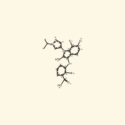 CC(C)n1cc(-n2c(N)c(Sc3cccc(C(=O)O)c3F)c3ccc(Cl)c(F)c32)cn1